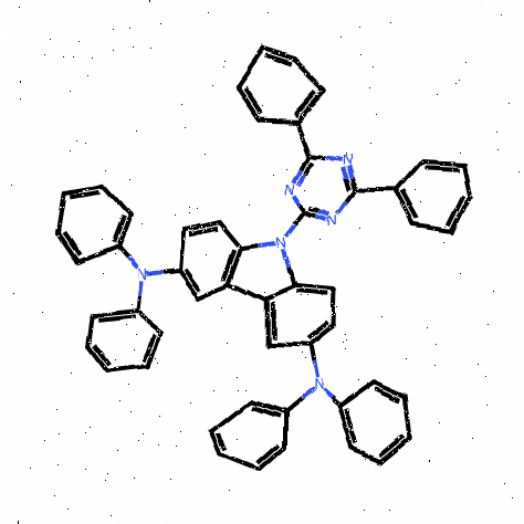 c1ccc(-c2nc(-c3ccccc3)nc(-n3c4ccc(N(c5ccccc5)c5ccccc5)cc4c4cc(N(c5ccccc5)c5ccccc5)ccc43)n2)cc1